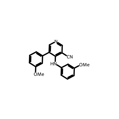 COc1cccc(Nc2c(C#N)cncc2-c2cccc(OC)c2)c1